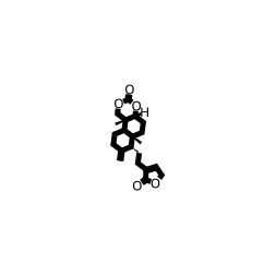 C=C1CCC2[C@](C)(CC[C@H]3OC(=O)OC[C@@]23C)[C@@H]1CCC1=CCOC1=O